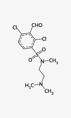 CN(C)CCN(C)S(=O)(=O)c1ccc(Cl)c(C=O)c1Cl